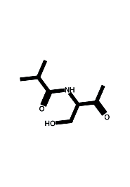 CC(=O)C(CO)NC(=O)C(C)C